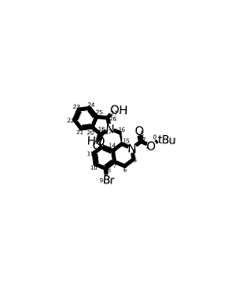 CC(C)(C)OC(=O)N1CCc2c(Br)ccc(O)c2[C@H]1CN1C(=O)c2ccccc2C1O